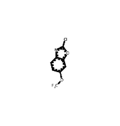 FC(F)(F)Oc1ccc2nc(Cl)oc2c1